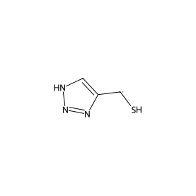 S[CH]c1c[nH]nn1